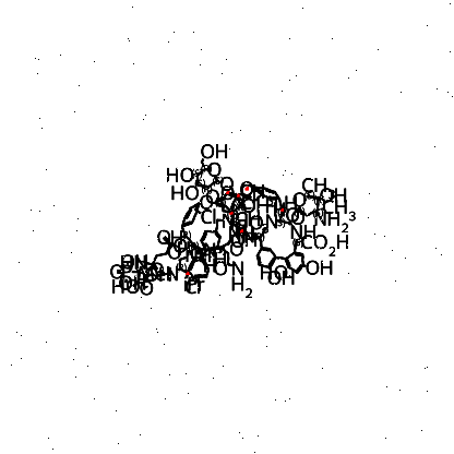 CN[C@H](CC(C)C)C(=O)N[C@H]1C(=O)N[C@@H](CC(N)=O)C(=O)N[C@H]2C(=O)N[C@H]3C(=O)N[C@H](C(=O)N[C@H](C(=O)O)c4cc(O)cc(O)c4-c4cc3ccc4O)[C@H](O[C@H]3C[C@](C)(N)[C@@H](O)[C@H](C)O3)c3ccc(c(Cl)c3)Oc3cc2cc(c3O[C@@H]2O[C@H](CO)[C@@H](O)[C@H](O)[C@H]2O[C@H]2C[C@](C)(NCc3ccc(-c4ccc(Cl)cc4)cc3)[C@@H](O)[C@H](C)O2)Oc2ccc(cc2Cl)[C@H]1OC(=O)CCC(=O)NC(P(=O)(O)O)P(=O)(O)O